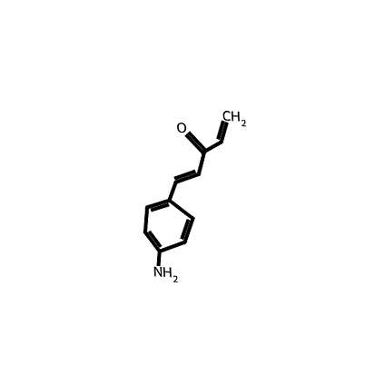 C=CC(=O)C=Cc1ccc(N)cc1